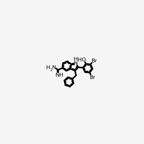 N=C(N)c1ccc2[nH]c(-c3cc(Br)cc(Br)c3O)c(Cc3ccccc3)c2c1